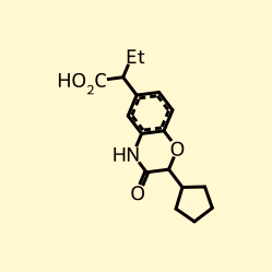 CCC(C(=O)O)c1ccc2c(c1)NC(=O)C(C1CCCC1)O2